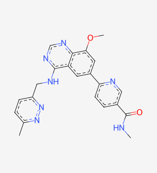 CNC(=O)c1ccc(-c2cc(OC)c3ncnc(NCc4ccc(C)nn4)c3c2)nc1